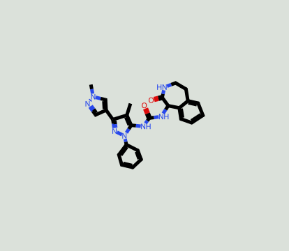 Cc1c(-c2cnn(C)c2)nn(-c2ccccc2)c1NC(=O)NC1C(=O)NCCc2ccccc21